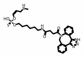 CBC/C=C\OP(O)(=S)OCCCCCCNC(=O)CCC(=O)N1Cc2ccccc2-c2nn[nH]c2-c2ccccc21